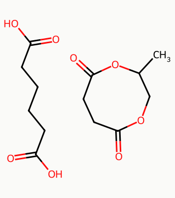 CC1COC(=O)CCC(=O)O1.O=C(O)CCCCC(=O)O